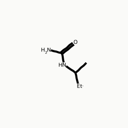 C[CH]C(C)NC(N)=O